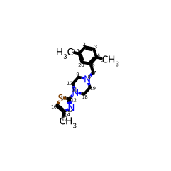 Cc1ccc(C)c(CN2CCN(c3nc(C)cs3)CC2)c1